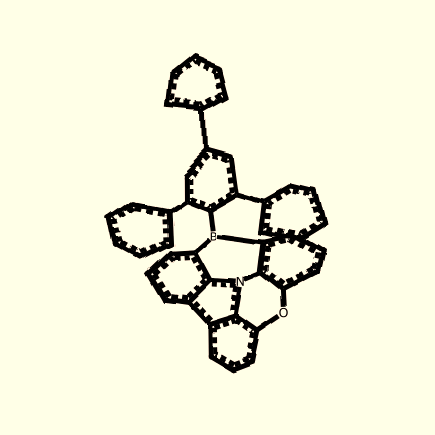 c1ccc(-c2cc(-c3ccccc3)c(B3c4cccc5c4-n4c6c(cccc6c6cccc3c64)O5)c(-c3ccccc3)c2)cc1